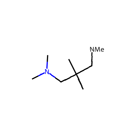 CNCC(C)(C)CN(C)C